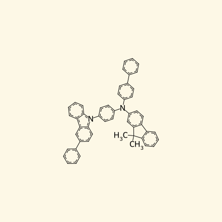 CC1(C)c2ccccc2-c2ccc(N(c3ccc(-c4ccccc4)cc3)c3ccc(-n4c5ccccc5c5cc(-c6ccccc6)ccc54)cc3)cc21